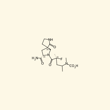 CC(C[C@](C)(F)C(=O)N1C[C@]2(CCNC2=O)C[C@H]1C(N)=O)N(C)C(=O)O